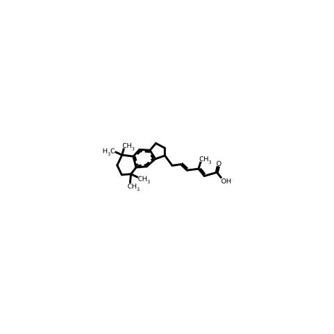 CC(/C=C/CC1CCc2cc3c(cc21)C(C)(C)CCC3(C)C)=C\C(=O)O